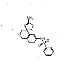 NC1=NC2(COCc3ccc(NS(=O)(=O)c4ccccc4)cc32)CS1